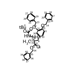 CC(C)(C)OC(=O)NN[C@@](C)(Cc1ccc(OCc2ccccc2)c(OCc2ccccc2)c1)C(=O)OCc1ccccc1